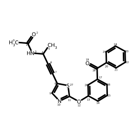 CC(=O)NC(C)C#Cc1cnc(Oc2cccc(C(=O)c3ccccc3)c2)s1